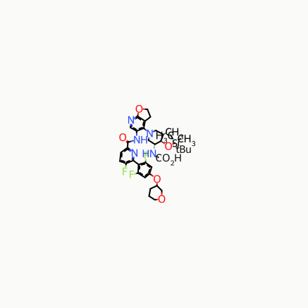 C[C@H]1CN(c2c(NC(=O)c3ccc(F)c(-c4c(F)cc(OC5CCCOC5)cc4F)n3)cnc3c2CCO3)C[C@@H](NC(=O)O)[C@@H]1O[Si](C)(C)C(C)(C)C